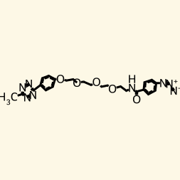 Cc1nnc(-c2ccc(OCCOCCOCCOCCNC(=O)c3ccc(N=[N+]=[N-])cc3)cc2)nn1